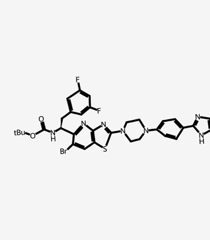 CC(C)(C)OC(=O)N[C@@H](Cc1cc(F)cc(F)c1)c1nc2nc(N3CCN(c4ccc(-c5ncc[nH]5)cc4)CC3)sc2cc1Br